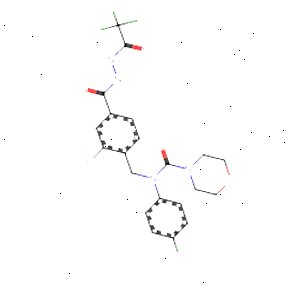 O=C(NNC(=O)C(F)(F)F)c1ccc(CN(C(=O)N2CCOCC2)c2ccc(Cl)cc2)c(F)c1